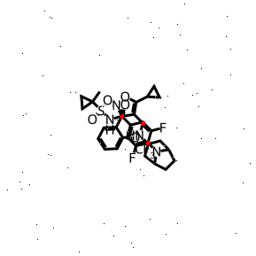 CC1(S(=O)(=O)NC(=O)c2cc(F)c(N3C4CCC3CC(NCc3c(-c5ccccc5OC(F)(F)F)noc3C3CC3)C4)c(F)c2)CC1